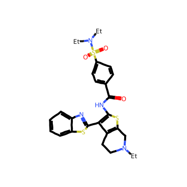 CCN1CCc2c(sc(NC(=O)c3ccc(S(=O)(=O)N(CC)CC)cc3)c2-c2nc3ccccc3s2)C1